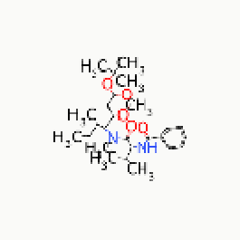 CC[C@H](C)[C@@H]([C@@H](CC(=O)OC(C)(C)C)OC)N(C)C(=O)[C@@H](NC(=O)c1ccccc1)C(C)C